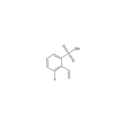 C=Cc1c(F)cccc1S(=O)(=O)O